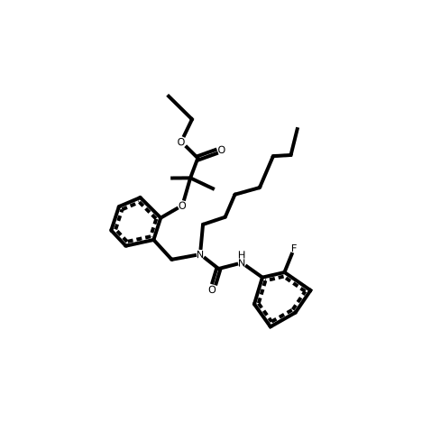 CCCCCCCN(Cc1ccccc1OC(C)(C)C(=O)OCC)C(=O)Nc1ccccc1F